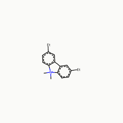 CCc1ccc2c(c1)-c1cc(CC)ccc1[N+]2(C)C